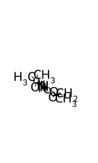 C=C(C)C(=O)Oc1ccc2c(c1)n1n(-c3cc(C)c(C)cc3O)n21